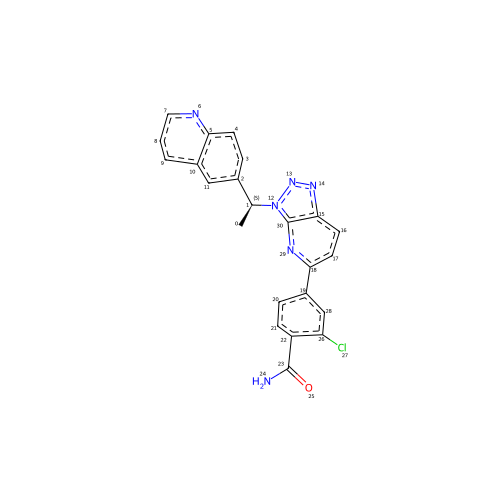 C[C@@H](c1ccc2ncccc2c1)n1nnc2ccc(-c3ccc(C(N)=O)c(Cl)c3)nc21